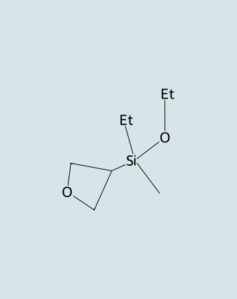 CCO[Si](C)(CC)C1COC1